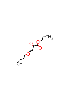 CCCCOC=CC(=O)C(=O)OCCC